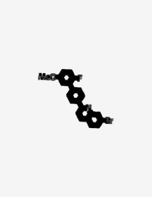 COc1ccc(F)c(-c2ccc(-c3ccc4ccc(Br)cc4n3)cc2)c1